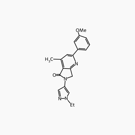 CCn1cc(N2Cc3nc(-c4cccc(OC)c4)cc(C)c3C2=O)cn1